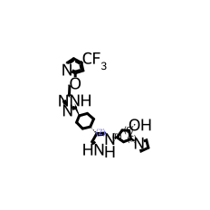 N=C/C(=C\N[C@H]1C[C@H](O)[C@@H](N2CCC2)C1)[C@H]1CC[C@H](c2nnc(COc3cc(C(F)(F)F)ccn3)[nH]2)CC1